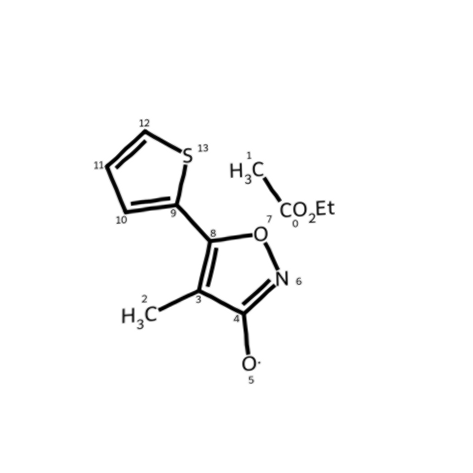 CCOC(C)=O.Cc1c([O])noc1-c1cccs1